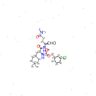 CN(C)C(=O)CC[C@@H](C=O)NC(=O)C(CC1CCC(C)(C)CC1)NC(=O)OCc1cccc(Cl)c1